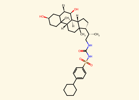 CC[C@@H]1C2C[C@H](O)CCC2(C)[C@H]2CCC3(C)[C@@H]([C@H](C)CNC(=O)NS(=O)(=O)c4ccc(C5CCCCC5)cc4)CC[C@H]3[C@@H]2[C@@H]1O